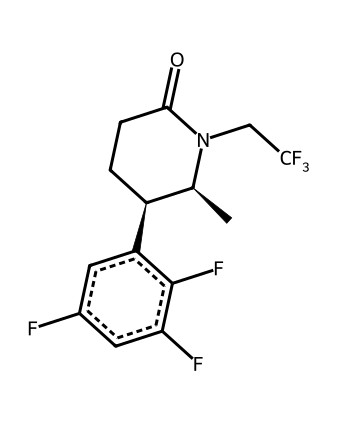 C[C@H]1[C@@H](c2cc(F)cc(F)c2F)CCC(=O)N1CC(F)(F)F